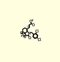 COC(=O)/C=C/C1=C2N(Cc3ccc(Cl)cc3Cl)C(=O)CC2(S(C)(=O)=O)CCC1